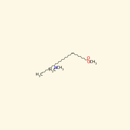 CCCCCCCCC(CCCCCCCCCC/C=C\CCCCCCCC(=O)OC)N(C)C